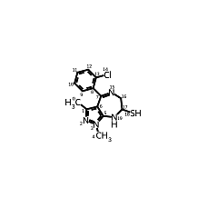 Cc1nn(C)c2c1C(c1ccccc1Cl)=NCC(S)N2